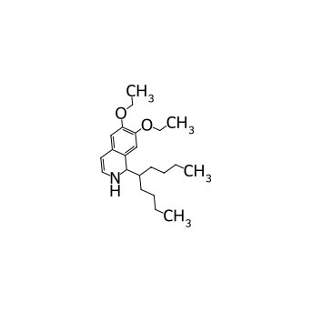 CCCCC(CCCC)C1NC=Cc2cc(OCC)c(OCC)cc21